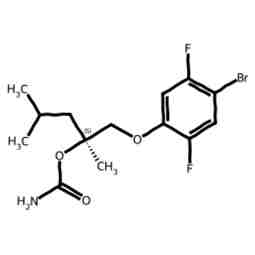 CC(C)C[C@@](C)(COc1cc(F)c(Br)cc1F)OC(N)=O